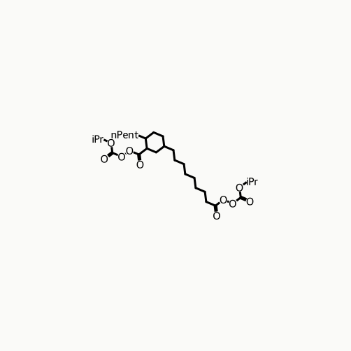 CCCCCC1CCC(CCCCCCCCC(=O)OOC(=O)OC(C)C)CC1C(=O)OOC(=O)OC(C)C